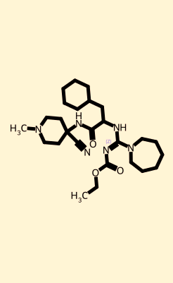 CCOC(=O)/N=C(/NC(CC1CCCCC1)C(=O)NC1(C#N)CCN(C)CC1)N1CCCCCC1